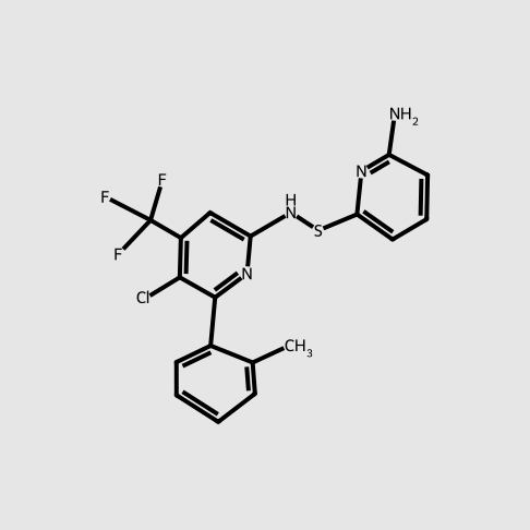 Cc1ccccc1-c1nc(NSc2cccc(N)n2)cc(C(F)(F)F)c1Cl